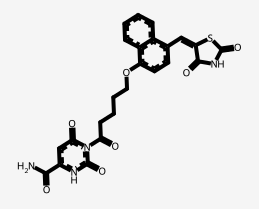 NC(=O)c1cc(=O)n(C(=O)CCCCOc2ccc(C=C3SC(=O)NC3=O)c3ccccc23)c(=O)[nH]1